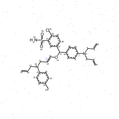 C=CCN(CC=C)c1ccc(C(O/C=C/CN(CC=C)c2ccc(I)cc2)c2ccc(Cl)c(S(N)(=O)=O)c2)cc1